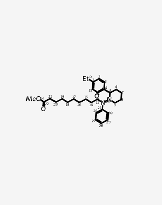 CCc1ccc(C2CCCCN2N(C(=O)CCCCCCCCC(=O)OC)c2ccccc2)cc1